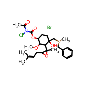 COC1C(OC(=O)N(Cl)C(C)=O)CCC(O)(C[S+](C)Cc2ccccc2)C1C1(C)OC1CC=C(C)C.[Br-]